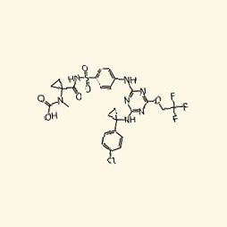 CN(C(=O)O)C1(C(=O)NS(=O)(=O)c2ccc(Nc3nc(NC4(c5ccc(Cl)cc5)CC4)nc(OCC(F)(F)F)n3)cc2)CC1